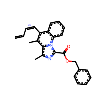 C=C/C=C\c1c(C)c2c(C)nc(C(=O)OCc3ccccc3)n2c2ccccc12